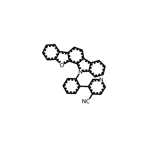 N#Cc1ccncc1-c1ccccc1-n1c2ccccc2c2ccc3c4ccccc4oc3c21